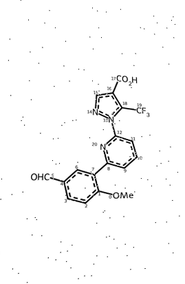 COc1ccc(C=O)cc1-c1cccc(-n2ncc(C(=O)O)c2C(F)(F)F)n1